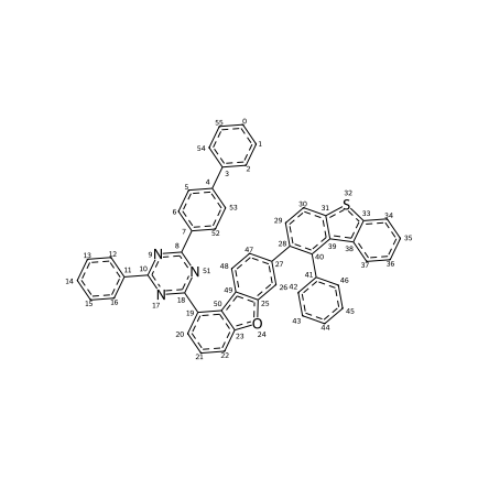 c1ccc(-c2ccc(-c3nc(-c4ccccc4)nc(-c4cccc5oc6cc(-c7ccc8sc9ccccc9c8c7-c7ccccc7)ccc6c45)n3)cc2)cc1